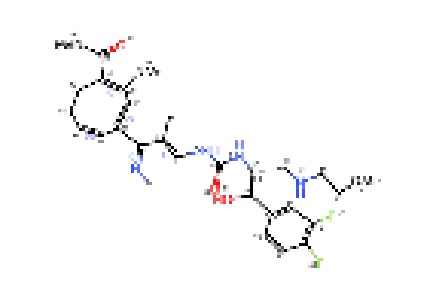 C/N=C(C(\C)=C\NC(=O)N[C@H](CNCCOC)C(O)c1ccc(F)c(F)c1)/C1=C/C(NC)=C(/C(=O)NC)CC/C=C\1